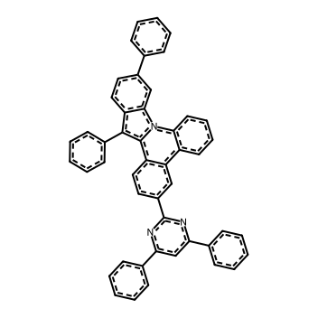 c1ccc(-c2ccc3c(-c4ccccc4)c4c5ccc(-c6nc(-c7ccccc7)cc(-c7ccccc7)n6)cc5c5ccccc5n4c3c2)cc1